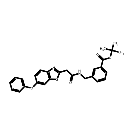 CC(C)(C)OC(=O)c1cccc(CNC(=O)Cc2nc3ccc(Oc4ccccc4)cc3s2)c1